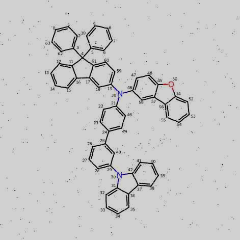 c1ccc(C2(c3ccccc3)c3ccccc3-c3cc(N(c4ccc(-c5cccc(-n6c7ccccc7c7ccccc76)c5)cc4)c4ccc5oc6ccccc6c5c4)ccc32)cc1